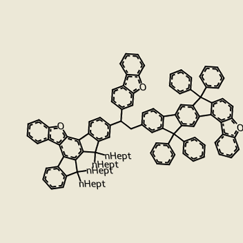 CCCCCCCC1(CCCCCCC)c2cc(C(Cc3ccc4c(c3)C(c3ccccc3)(c3ccccc3)c3cc5c(cc3-4)C(c3ccccc3)(c3ccccc3)c3ccc4oc6ccccc6c4c3-5)c3ccc4c(c3)oc3ccccc34)ccc2-c2c1c1c(c3c2oc2ccccc23)-c2ccccc2C1(CCCCCCC)CCCCCCC